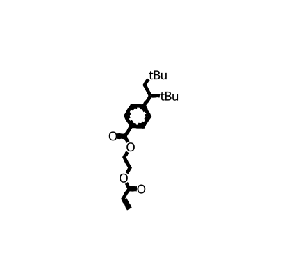 C=CC(=O)OCCOC(=O)c1ccc(C(CC(C)(C)C)C(C)(C)C)cc1